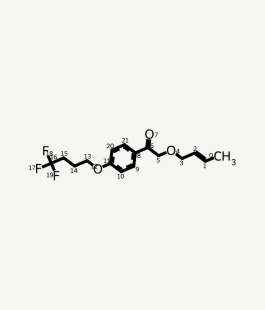 C/C=C/COCC(=O)c1ccc(OCCCC(F)(F)F)cc1